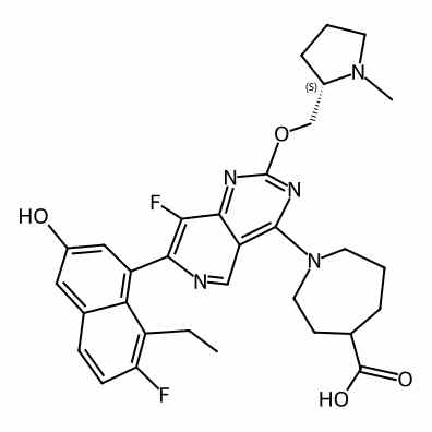 CCc1c(F)ccc2cc(O)cc(-c3ncc4c(N5CCCC(C(=O)O)CC5)nc(OC[C@@H]5CCCN5C)nc4c3F)c12